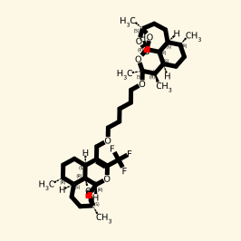 C[C@@H]1CC[C@H]2[C@@H](C)[C@@](C)(OCCCCCOCC3=C(C(F)(F)F)O[C@@H]4O[C@]5(C)CC[C@H]6[C@H](C)CC[C@@H]3[C@@]46OO5)O[C@@H]3O[C@]4(C)CC[C@@H]1[C@]32OO4